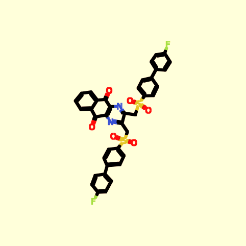 O=C1c2ccccc2C(=O)c2nc(CS(=O)(=O)c3ccc(-c4ccc(F)cc4)cc3)c(CS(=O)(=O)c3ccc(-c4ccc(F)cc4)cc3)nc21